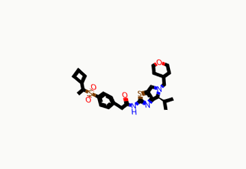 CC(C)[C@H]1c2nc(NC(=O)Cc3ccc(S(=O)(=O)C(C)C4CCC4)cc3)sc2CN1CC1CCOCC1